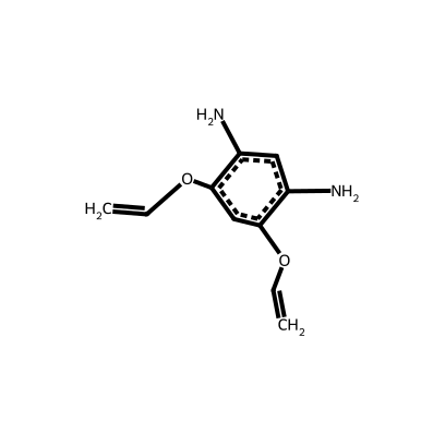 C=COc1cc(OC=C)c(N)cc1N